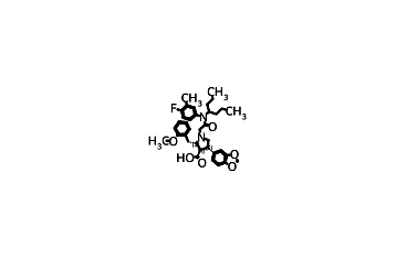 CCCC(CCC)N(C(=O)CN1C[C@H](c2ccc3c(c2)OCO3)[C@@H](C(=O)O)[C@@H]1Cc1ccccc1OC)c1ccc(F)c(C)c1